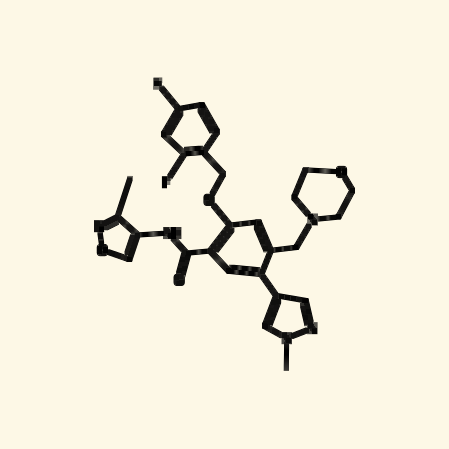 Cc1nocc1NC(=O)c1cc(-c2cnn(C)c2)c(CN2CCOCC2)cc1OCc1ccc(F)cc1F